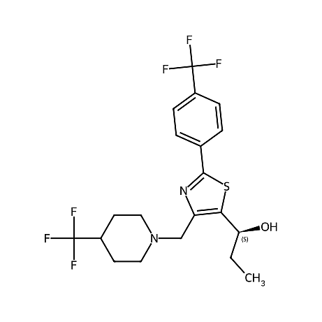 CC[C@H](O)c1sc(-c2ccc(C(F)(F)F)cc2)nc1CN1CCC(C(F)(F)F)CC1